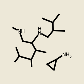 CNCC(NCC(C)C(C)C)C(C)C(C)C(C)C.NC1CC1